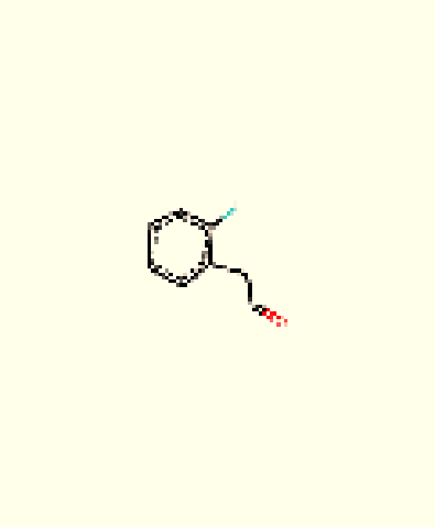 O=[C]Cc1ccccc1F